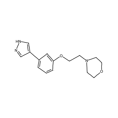 [c]1ccc(-c2cn[nH]c2)cc1OCCN1CCOCC1